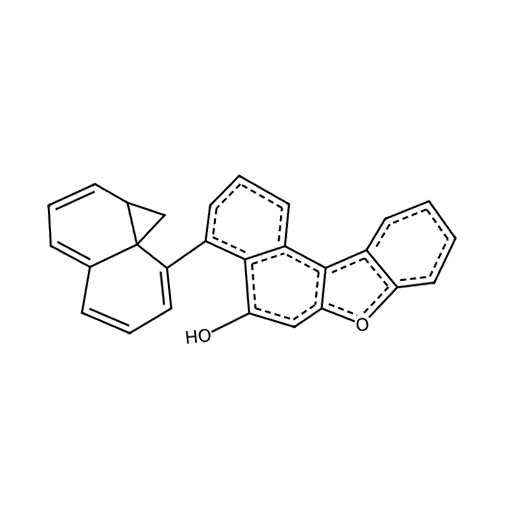 Oc1cc2oc3ccccc3c2c2cccc(C3=CC=CC4=CC=CC5CC435)c12